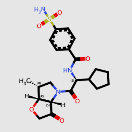 C[C@@H]1CN(C(=O)[C@@H](NC(=O)c2ccc(S(N)(=O)=O)cc2)C2CCCC2)[C@@H]2C(=O)CO[C@H]12